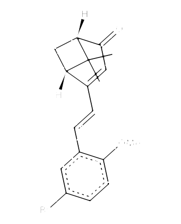 COc1ccc(Br)cc1C=CC1=CC(=O)[C@H]2C[C@@H]1C2(C)C